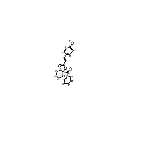 COc1ccc(C=CC(=O)OC2(C(=O)c3ccccc3)CCCCC2)cc1